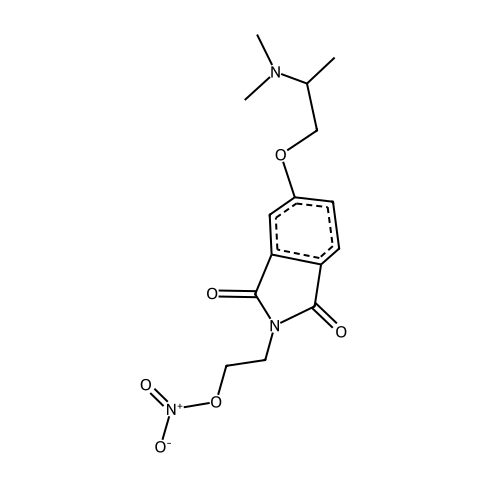 CC(COc1ccc2c(c1)C(=O)N(CCO[N+](=O)[O-])C2=O)N(C)C